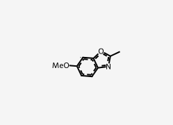 COc1[c]c2oc(C)nc2cc1